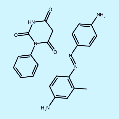 Cc1cc(N)ccc1N=Nc1ccc(N)cc1.O=C1CC(=O)N(c2ccccc2)C(=O)N1